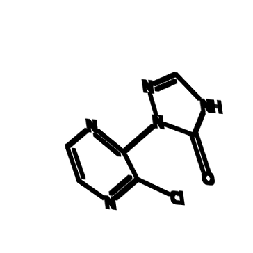 O=c1[nH]cnn1-c1nccnc1Cl